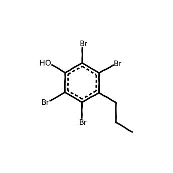 CCCc1c(Br)c(Br)c(O)c(Br)c1Br